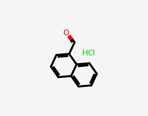 Cl.O=Cc1cccc2ccccc12